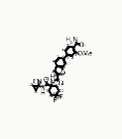 COc1cc(-c2ccc3cc(C(=O)NC4(C(=O)NC5(C#N)CC5)CCC(F)(F)CC4)oc3c2)ccc1C(N)=O